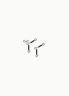 [Cu+2].[O-][Cl+][O-].[O-][Cl+][O-]